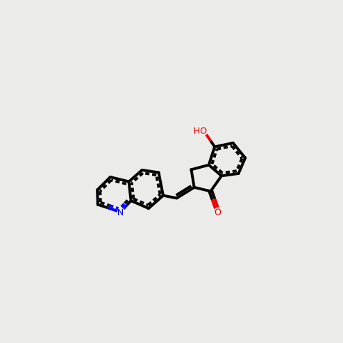 O=C1/C(=C/c2ccc3cccnc3c2)Cc2c(O)cccc21